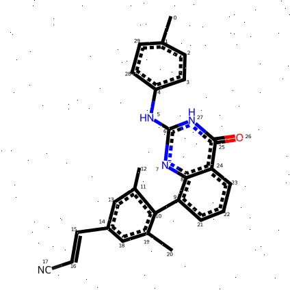 Cc1ccc(Nc2nc3c(-c4c(C)cc(/C=C/C#N)cc4C)cccc3c(=O)[nH]2)cc1